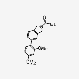 CCC(=O)N1Cc2ccc(-c3ccc(OC)cc3OC)cc2C1